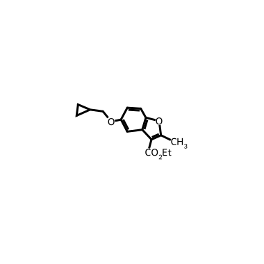 CCOC(=O)c1c(C)oc2ccc(OCC3CC3)cc12